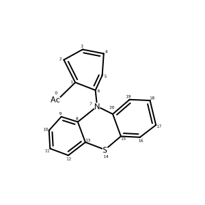 CC(=O)c1ccccc1N1c2ccccc2Sc2ccccc21